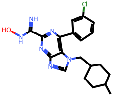 CC1CCC(Cn2cnc3nc(C(=N)NO)nc(-c4cccc(Cl)c4)c32)CC1